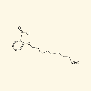 CCCCCCCCCCCCCCCCCCOc1ccccc1C(=O)Cl